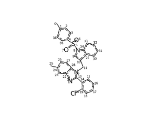 Cc1ccc(S(=O)(=O)n2cc(Cn3c(-c4ccccc4Cl)nc4cc(C)ccc43)c3ccccc32)cc1